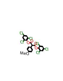 COc1ccc(C(C(=O)Oc2c(Cl)cc(Cl)cc2Cl)C(=O)Oc2c(Cl)cc(Cl)cc2Cl)cc1